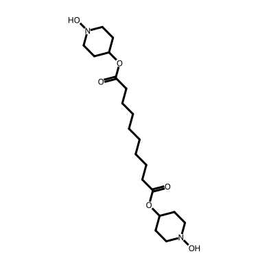 O=C(CCCCCCCCC(=O)OC1CCN(O)CC1)OC1CCN(O)CC1